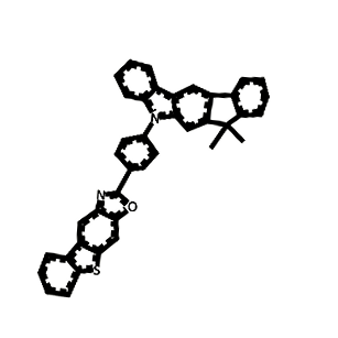 CC1(C)c2ccccc2-c2cc3c4ccccc4n(-c4ccc(-c5nc6cc7c(cc6o5)sc5ccccc57)cc4)c3cc21